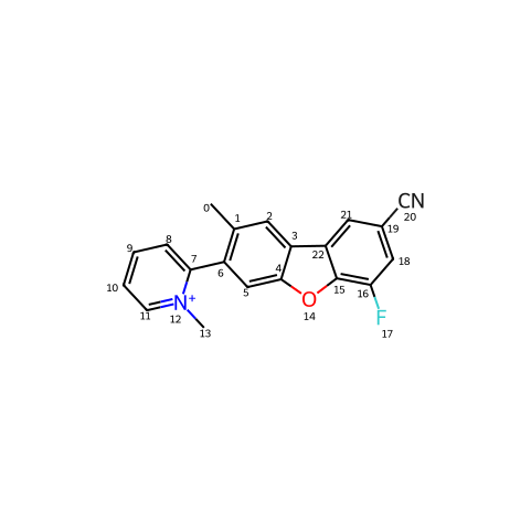 Cc1cc2c(cc1-c1cccc[n+]1C)oc1c(F)cc(C#N)cc12